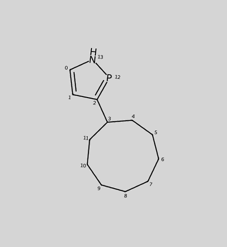 c1cc(C2CCCCCCCC2)p[nH]1